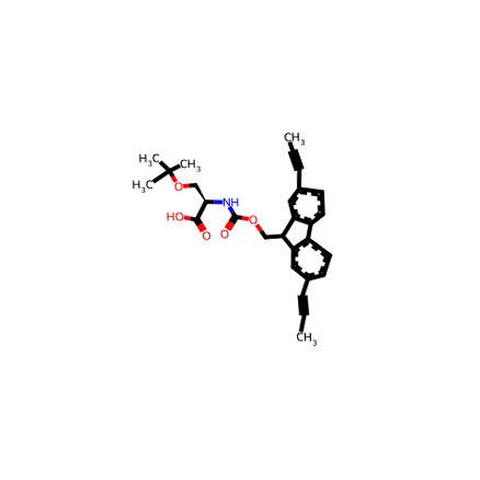 CC#Cc1ccc2c(c1)C(COC(=O)N[C@H](COC(C)(C)C)C(=O)O)c1cc(C#CC)ccc1-2